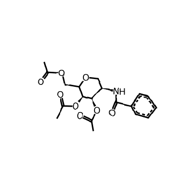 CC(=O)OCC1OC[C@@H](NC(=O)c2ccccc2)[C@@H](OC(C)=O)[C@H]1OC(C)=O